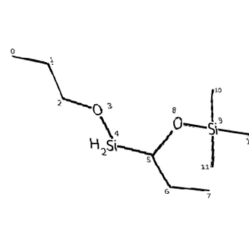 C[CH]CO[SiH2]C(CC)O[Si](C)(C)C